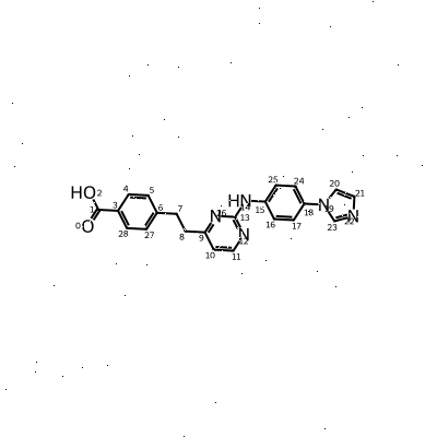 O=C(O)c1ccc(CCc2ccnc(Nc3ccc(-n4ccnc4)cc3)n2)cc1